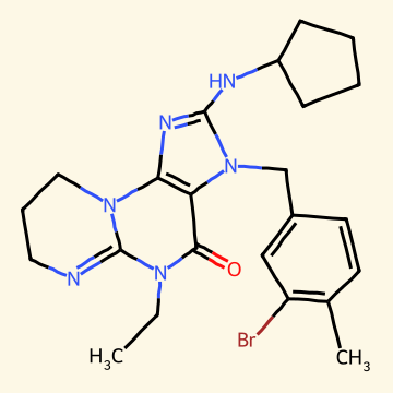 CCN1C(=O)c2c(nc(NC3CCCC3)n2Cc2ccc(C)c(Br)c2)N2CCCN=C12